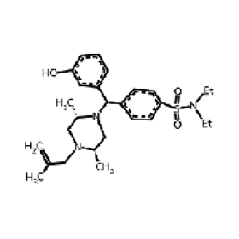 C=C(C)CN1C[C@H](C)N(C(c2ccc(S(=O)(=O)N(CC)CC)cc2)c2cccc(O)c2)C[C@H]1C